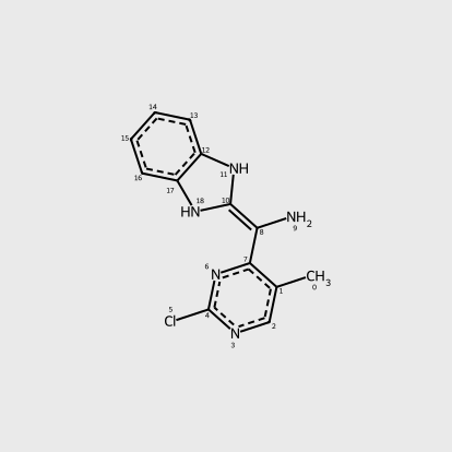 Cc1cnc(Cl)nc1C(N)=C1Nc2ccccc2N1